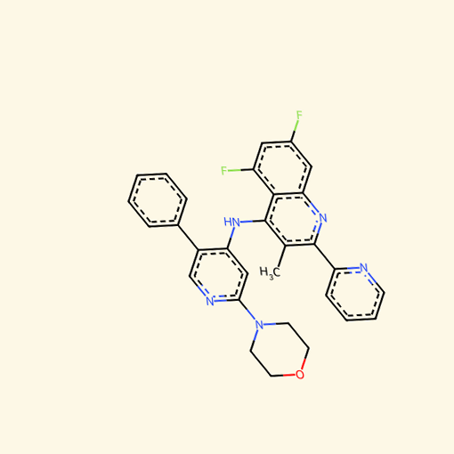 Cc1c(-c2ccccn2)nc2cc(F)cc(F)c2c1Nc1cc(N2CCOCC2)ncc1-c1ccccc1